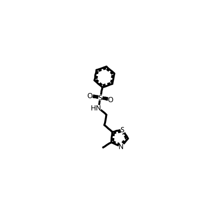 Cc1ncsc1CCNS(=O)(=O)c1ccccc1